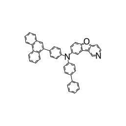 c1ccc(-c2ccc(N(c3ccc(-c4cc5ccccc5c5ccccc45)cc3)c3ccc4oc5ccncc5c4c3)cc2)cc1